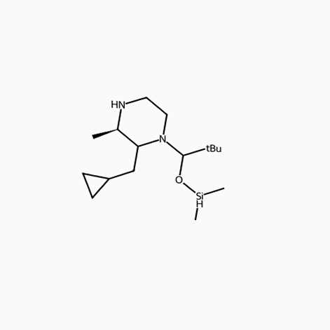 C[C@H]1NCCN(C(O[SiH](C)C)C(C)(C)C)C1CC1CC1